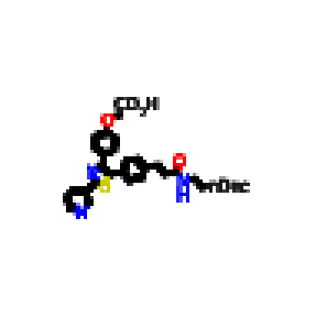 CCCCCCCCCCCCNC(=O)C=Cc1ccc(-c2sc(-c3cccnc3)nc2-c2ccc(OCC(=O)O)cc2)cc1